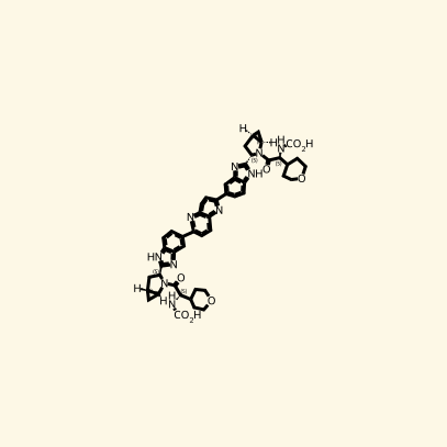 O=C(O)N[C@H](C(=O)N1[C@@H]2C[C@@H]2C[C@H]1c1nc2cc(-c3ccc4nc(-c5ccc6[nH]c([C@@H]7C[C@H]8C[C@H]8N7C(=O)[C@@H](NC(=O)O)C7CCOCC7)nc6c5)ccc4n3)ccc2[nH]1)C1CCOCC1